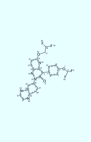 O=c1c(-c2ccc(OC(F)F)cc2)c2nc(OCC(F)F)ccc2nn1-c1ccc2nccnc2c1